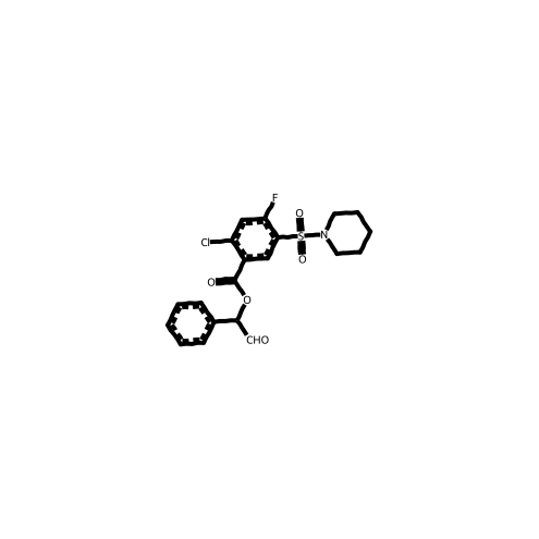 O=CC(OC(=O)c1cc(S(=O)(=O)N2CCCCC2)c(F)cc1Cl)c1ccccc1